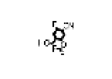 N#Cc1cc(OC(F)F)c(CO)cc1F